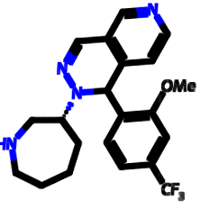 COc1cc(C(F)(F)F)ccc1C1c2ccncc2C=NN1[C@@H]1CCCCNC1